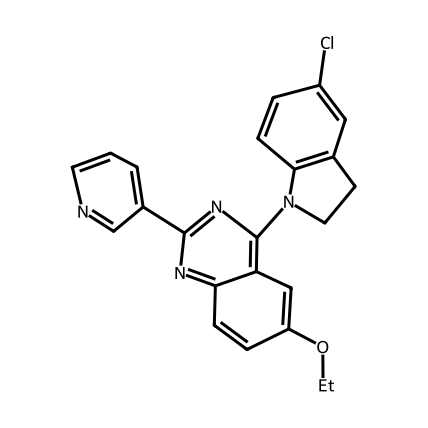 CCOc1ccc2nc(-c3cccnc3)nc(N3CCc4cc(Cl)ccc43)c2c1